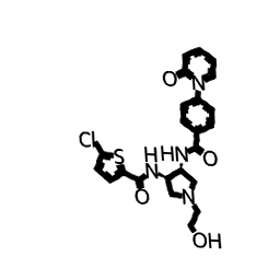 O=C(N[C@@H]1CN(CCO)C[C@H]1NC(=O)c1ccc(Cl)s1)c1ccc(-n2ccccc2=O)cc1